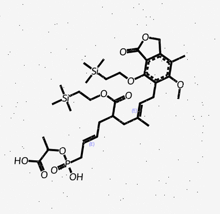 COc1c(C)c2c(c(OCC[Si](C)(C)C)c1C/C=C(\C)CC(C/C=C/CP(=O)(O)OC(C)C(=O)O)C(=O)OCC[Si](C)(C)C)C(=O)OC2